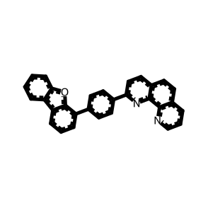 c1cnc2c(c1)ccc1ccc(-c3ccc(-c4cccc5c4oc4ccccc45)cc3)nc12